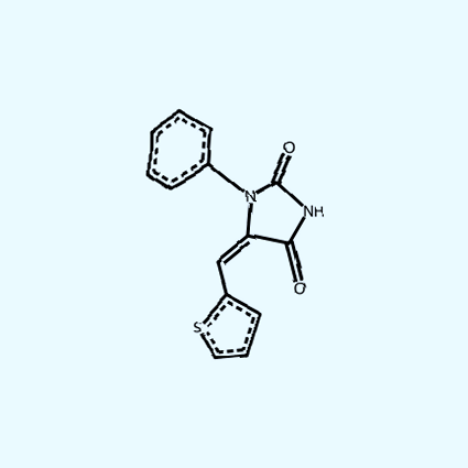 O=C1NC(=O)N(c2ccccc2)C1=Cc1cccs1